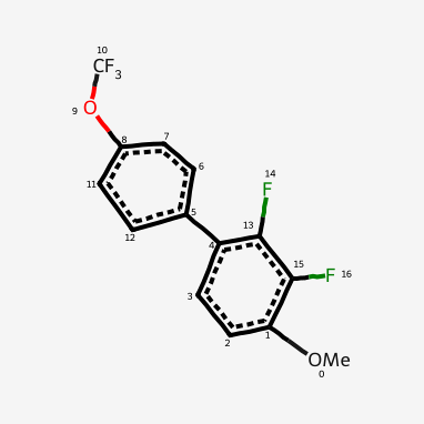 COc1ccc(-c2ccc(OC(F)(F)F)cc2)c(F)c1F